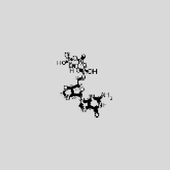 Nc1nc2c(ncn2[C@@H]2O[C@H](COP(=O)(O)OP(=O)(O)OP(=O)(O)O)C3OCOC32)c(=O)[nH]1